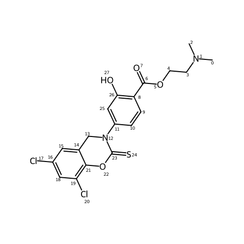 CN(C)CCOC(=O)c1ccc(N2Cc3cc(Cl)cc(Cl)c3OC2=S)cc1O